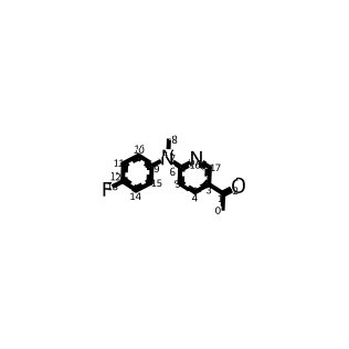 CC(=O)c1ccc(N(C)c2ccc(F)cc2)nc1